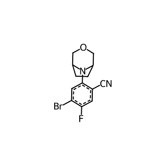 N#Cc1cc(F)c(Br)cc1N1C2CCC1COC2